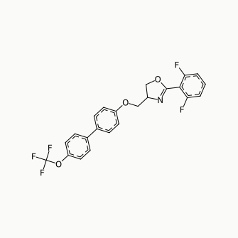 Fc1cccc(F)c1C1=NC(COc2ccc(-c3ccc(OC(F)(F)F)cc3)cc2)CO1